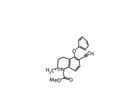 C#Cc1ccc2c(c1Oc1ccccc1)CC[C@H](C)N2C(=O)OC